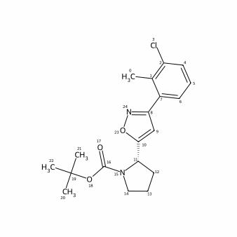 Cc1c(Cl)cccc1-c1cc([C@@H]2CCCN2C(=O)OC(C)(C)C)on1